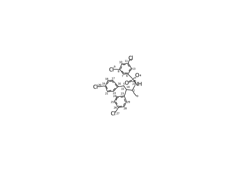 CC(NS(=O)(=O)c1cc(Cl)cc(Cl)c1)C(Cc1ccc(Cl)cc1)c1ccc(Cl)cc1